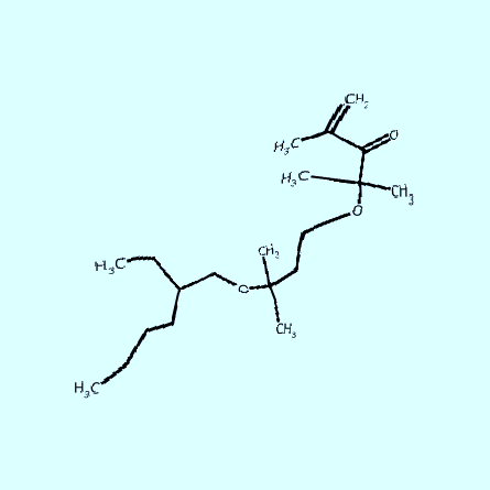 C=C(C)C(=O)C(C)(C)OCCC(C)(C)OCC(CC)CCCC